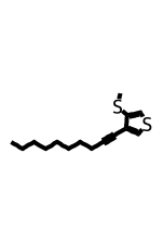 CCCCCCCCC#Cc1cscc1SC